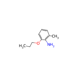 CCCOc1cccc(C)c1N